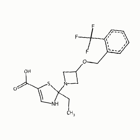 CCC1(N2CC(OCc3ccccc3C(F)(F)F)C2)NC=C(C(=O)O)S1